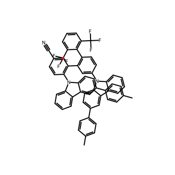 Cc1ccc(-c2ccc3c(c2)c2ccccc2n3-c2ccc(-c3c(C(F)(F)F)cccc3C(F)(F)F)c(-c3cc(C#N)ccc3-n3c4ccccc4c4cc(-c5ccc(C)cc5)ccc43)c2)cc1